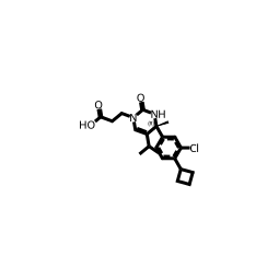 CC(C)C1=CN(CCC(=O)O)C(=O)N[C@]1(C)c1ccc(C2CCC2)c(Cl)c1